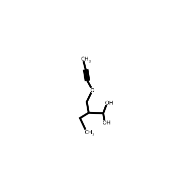 CC#COCC(CC)C(O)O